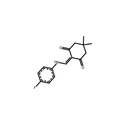 CC1(C)CC(=O)C(=CNc2ccc(F)cc2)C(=O)C1